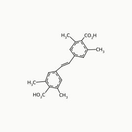 Cc1cc(C=Cc2cc(C)c(C(=O)O)c(C)c2)cc(C)c1C(=O)O